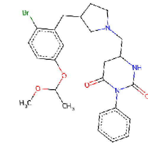 COC(C)Oc1ccc(Br)c(CC2CCN(CC3CC(=O)N(c4ccccc4)C(=O)N3)C2)c1